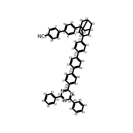 N#Cc1ccc(-c2ccc(C34CC5CC(C3)CC(c3ccc(-c6ccc(-c7ccc(-c8nc(-c9ccccc9)nc(-c9ccccc9)n8)cc7)cc6)cc3)(C5)C4)cc2)cc1